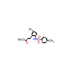 COC(=O)C=Cc1cc(C(C)=O)ccc1NS(=O)(=O)c1ccc(C)cc1